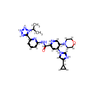 CC(C)n1nnnc1-c1cccc(NC(=O)c2cc(-n3cnc(C4CC4)c3)c(N3CCOCC3)cn2)n1